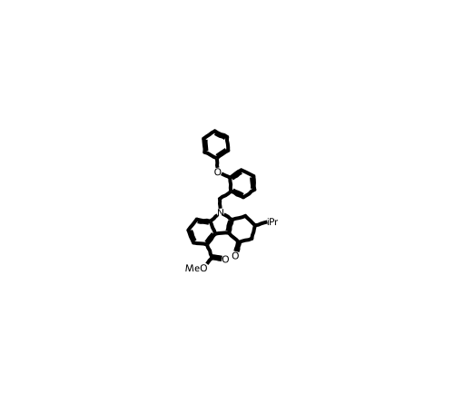 COC(=O)c1cccc2c1c1c(n2Cc2ccccc2Oc2ccccc2)CC(C(C)C)CC1=O